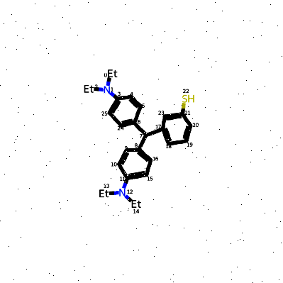 CCN(CC)c1ccc(C(c2ccc(N(CC)CC)cc2)c2cccc(S)c2)cc1